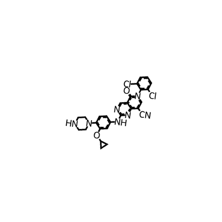 N#Cc1cn(-c2c(Cl)cccc2Cl)c(=O)c2cnc(Nc3ccc(N4CCNCC4)c(OC4CC4)c3)nc12